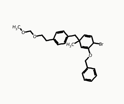 COCOCCc1ccc(CC2(C)C=CC(Br)C(OCc3ccccc3)=C2)cc1